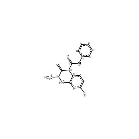 C=C1C(C(=O)O)Nc2cc(Cl)ccc2C1C(=O)Nc1ccccc1